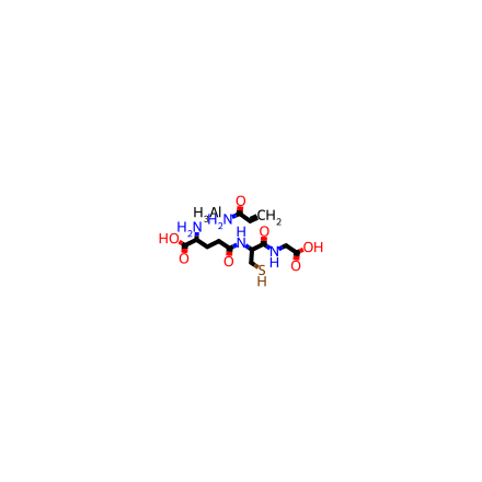 C=CC(N)=O.NC(CCC(=O)NC(CS)C(=O)NCC(=O)O)C(=O)O.[AlH3]